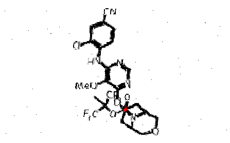 COc1c(Nc2ccc(C#N)cc2Cl)ncnc1OC1CC2COCC(C1)N2C(=O)OC(C)(C(F)(F)F)C(F)(F)F